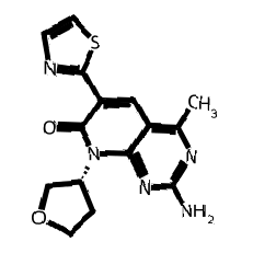 Cc1nc(N)nc2c1cc(-c1nccs1)c(=O)n2[C@@H]1CCOC1